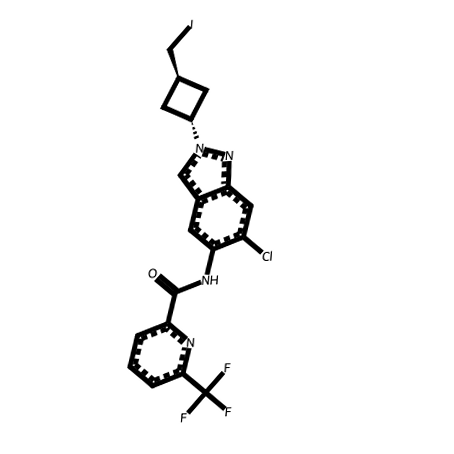 O=C(Nc1cc2cn([C@H]3C[C@H](CI)C3)nc2cc1Cl)c1cccc(C(F)(F)F)n1